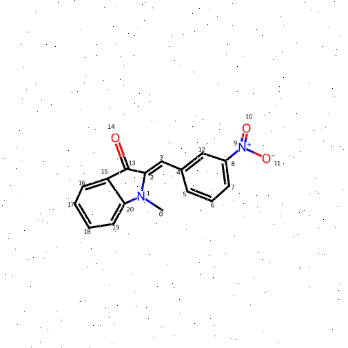 CN1C(=Cc2cccc([N+](=O)[O-])c2)C(=O)c2ccccc21